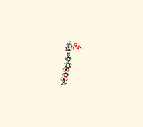 C=COC(=O)CCOC(/C=C\C(=C)C#CC1=CC=C(c2ccc(OC(=O)C3=CC=C(OC(=O)C(=C)F)CC3)cc2)CC1)=C\F